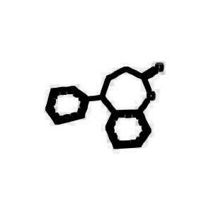 O=C1CCC(c2ccccc2)c2ccccc2O1